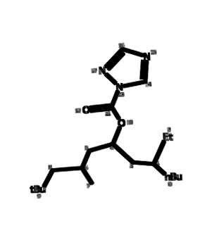 CCCCC(CC)CC(CC(C)CC(C)(C)C)OC(=O)n1cncn1